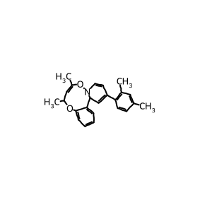 C/C1=C/C(C)Oc2ccccc2C2C=C(c3ccc(C)cc3C)C=CN2O1